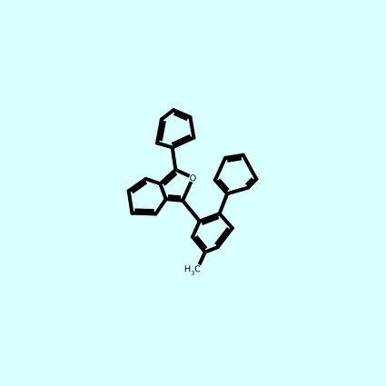 Cc1ccc(-c2ccccc2)c(-c2oc(-c3ccccc3)c3ccccc23)c1